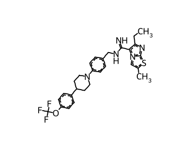 CCc1nc2sc(C)cn2c1C(=N)NCc1ccc(N2CCC(c3ccc(OC(F)(F)F)cc3)CC2)cc1